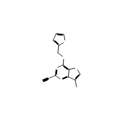 Cc1csc2c(NCc3ccco3)nc(C#N)nc12